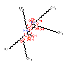 CCCCCCCCCCCC(=O)OC(CCCCCCCCCCC)CC(=O)O[C@@H]1C(NC(=O)CC(O)CCCCCCCCCCC)[C@H](OCC2OC(OP(=O)(O)O)C(NC(=O)CC(O)CCCCCCCCCCC)[C@@H](OC(=O)CC(O)CCCCCCCCCCC)[C@@H]2O)OC(CO)[C@H]1OP(=O)(O)O